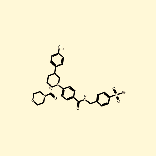 CCS(=O)(=O)c1ccc(CNC(=O)c2ccc(N3CC(c4ccc(C(F)(F)F)cc4)CC[C@H]3C(=O)N3CCOCC3)cc2)cc1